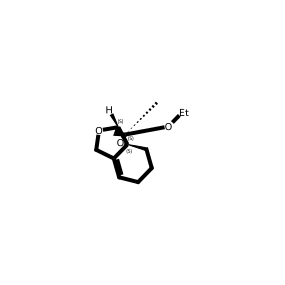 CCO[C@]1(C)C[C@@H]2OCC3=CCCC[C@]32O1